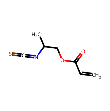 C=CC(=O)OCC(C)N=C=S